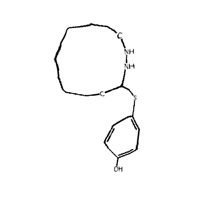 Oc1ccc(SC2CCCCCCCCCCNN2)cc1